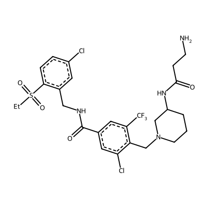 CCS(=O)(=O)c1ccc(Cl)cc1CNC(=O)c1cc(Cl)c(CN2CCCC(NC(=O)CCN)C2)c(C(F)(F)F)c1